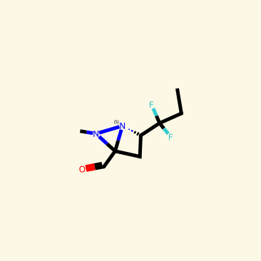 CCC(F)(F)C1CC2(C=O)N(C)[N@]12